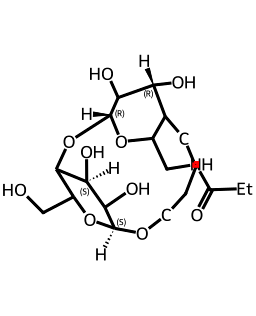 CCC(=O)NCC1O[C@@H]2OC3C(CO)O[C@H](OCCCCC1[C@@H](O)C2O)C(O)[C@@H]3O